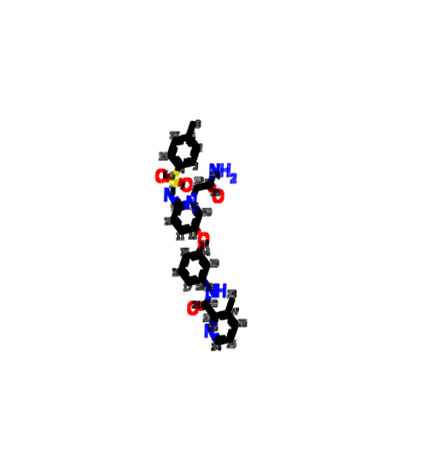 Cc1ccc(S(=O)(=O)N=c2ccc(Oc3cccc(NC(=O)c4ncccc4C)c3)cn2CC(N)=O)cc1